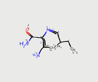 CCC(C)/C=N\C(C(N)=O)=C(/C)N